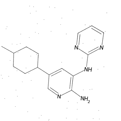 CC1CCC(c2cnc(N)c(Nc3ncccn3)c2)CC1